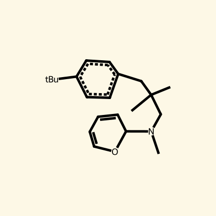 CN(CC(C)(C)Cc1ccc(C(C)(C)C)cc1)C1C=CC=CO1